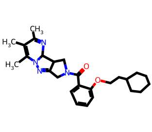 CC1=NC2C3CN(C(=O)c4ccccc4OCCC4CCCCC4)CC3=NN2C(C)=C1C